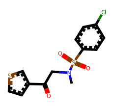 CN(CC(=O)c1ccsc1)S(=O)(=O)c1ccc(Cl)cc1